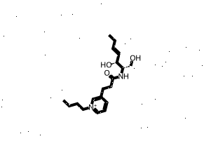 CC/C=C/[C@@H](O)[C@H](CO)NC(=O)CCc1ccc[n+](CCCC)c1